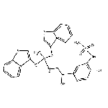 CC(NCC(O)c1ccc(O)c(NS(C)(=O)=O)c1)(Oc1csc2ccccc12)Oc1csc2ccccc12